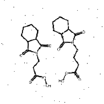 O=C(CCCN1C(=O)C2CCCCC2C1=O)OO.O=C(CCN1C(=O)C2CCCCC2C1=O)OO